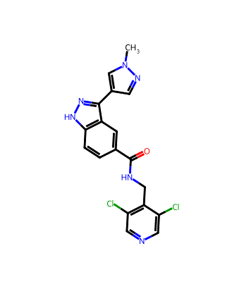 Cn1cc(-c2n[nH]c3ccc(C(=O)NCc4c(Cl)cncc4Cl)cc23)cn1